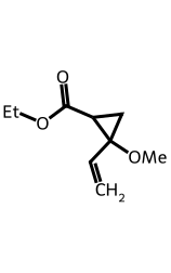 C=CC1(OC)CC1C(=O)OCC